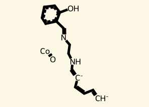 [CH-]=C/C=C\[C-]=C\NCCN=Cc1ccccc1O.[O]=[Co]